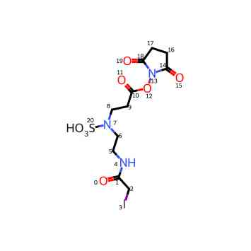 O=C(CI)NCCN(CCC(=O)ON1C(=O)CCC1=O)S(=O)(=O)O